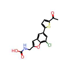 CC(=O)c1ccc(-c2cc(Cl)c3oc(CNC(=O)O)cc3c2)s1